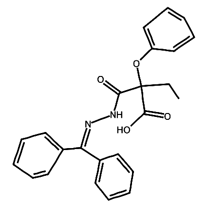 CCC(Oc1ccccc1)(C(=O)O)C(=O)NN=C(c1ccccc1)c1ccccc1